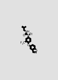 C=C(C)CNC(=O)N(CC)c1ccc(Oc2ccc3sncc3c2)c(C(F)(F)F)c1